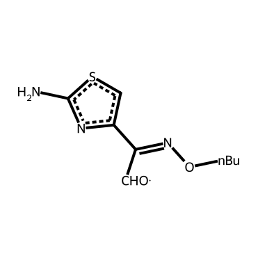 CCCCON=C([C]=O)c1csc(N)n1